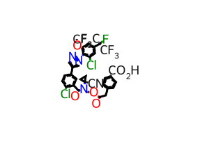 N#CC1(N(COC(=O)Cc2ccc(C(=O)O)cc2)C(=O)c2cc(-c3cnn(-c4c(Cl)cc(C(F)(C(F)(F)F)C(F)(F)F)cc4OC(F)(F)F)c3)ccc2Cl)CC1